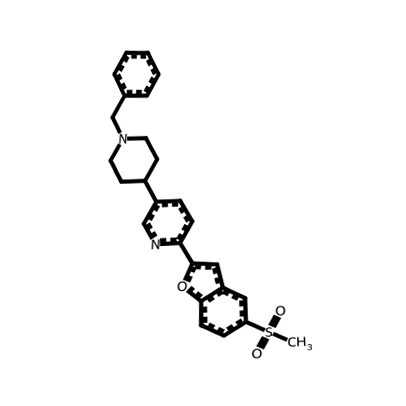 CS(=O)(=O)c1ccc2oc(-c3ccc(C4CCN(Cc5ccccc5)CC4)cn3)cc2c1